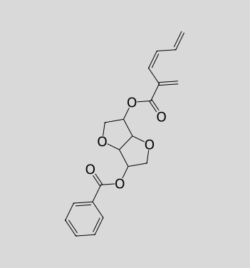 C=C/C=C\C(=C)C(=O)OC1COC2C(OC(=O)c3ccccc3)COC12